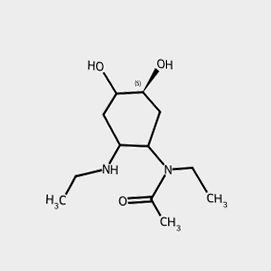 CCNC1CC(O)[C@@H](O)CC1N(CC)C(C)=O